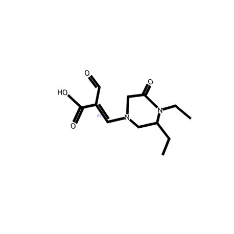 CCC1CN(/C=C(\C=O)C(=O)O)CC(=O)N1CC